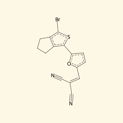 N#CC(C#N)=Cc1ccc(-c2sc(Br)c3c2CCC3)o1